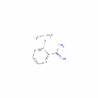 CC(=O)O.N=C(N)c1ccccc1F